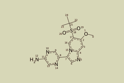 COc1cc2ncc(-c3cnc(N)cn3)n2cc1S(=O)(=O)C(C)(C)C